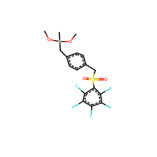 CO[Si](C)(Cc1ccc(CS(=O)(=O)c2c(F)c(F)c(F)c(F)c2F)cc1)OC